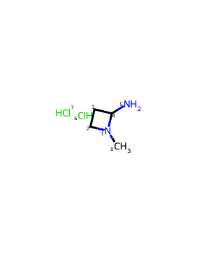 CN1CCC1N.Cl.Cl